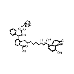 O=C(NC(c1ccccc1)c1cccc(C(=O)O)c1CCCCCCNC[C@H](O)c1ccc(O)c2[nH]c(=O)ccc12)O[C@H]1CN2CCC1CC2